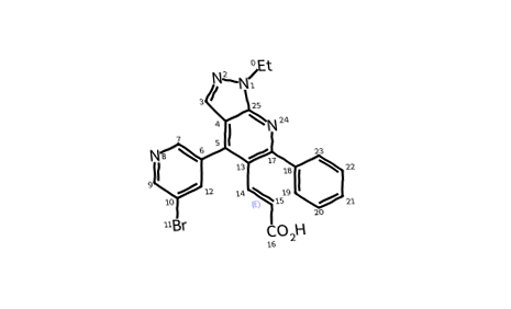 CCn1ncc2c(-c3cncc(Br)c3)c(/C=C/C(=O)O)c(-c3ccccc3)nc21